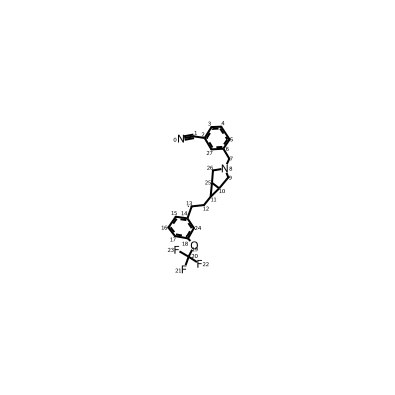 N#Cc1cccc(CN2CC3C(C[CH]c4cccc(OC(F)(F)F)c4)C3C2)c1